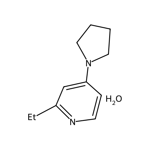 CCc1cc(N2CCCC2)ccn1.O